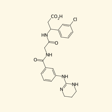 O=C(O)CC(NC(=O)CNC(=O)c1cccc(NC2=NCCCN2)c1)c1cccc(Cl)c1